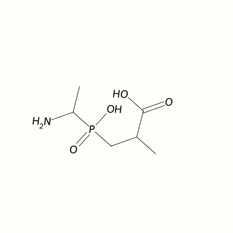 CC(CP(=O)(O)C(C)N)C(=O)O